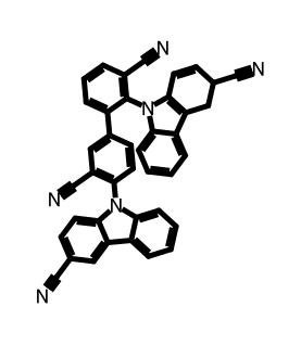 N#Cc1ccc2c(c1)c1ccccc1n2-c1ccc(-c2cccc(C#N)c2-n2c3c(c4ccccc42)CC(C#N)C=C3)cc1C#N